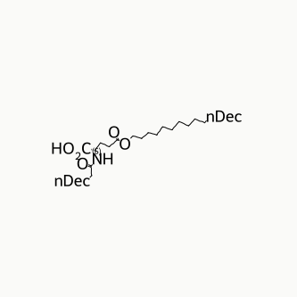 CCCCCCCCCCCCCCCCCCCCOC(=O)CC[C@H](NC(=O)CCCCCCCCCCC)C(=O)O